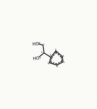 OCC(O)c1[c]cccc1